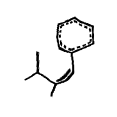 CC(=Cc1ccccc1)C(C)C